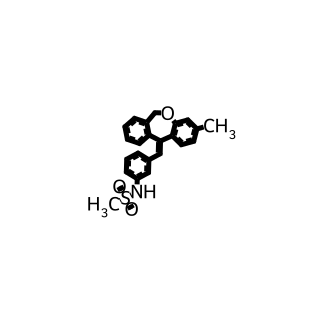 Cc1ccc2c(c1)OCc1ccccc1/C2=C\c1cccc(NS(C)(=O)=O)c1